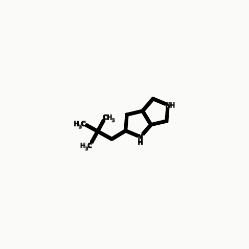 CC(C)(C)CC1CC2CNCC2N1